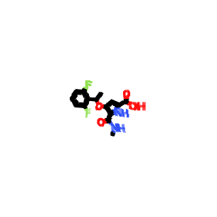 CNC(=O)c1[nH]c(C(=O)O)cc1OC(C)c1c(F)cccc1F